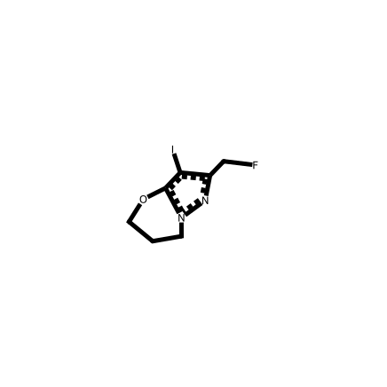 FCc1nn2c(c1I)OCCC2